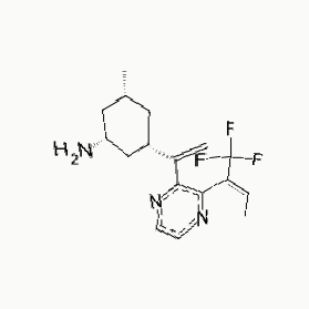 C=C(c1nccnc1/C(=C\C)C(F)(F)F)[C@H]1C[C@@H](C)C[C@@H](N)C1